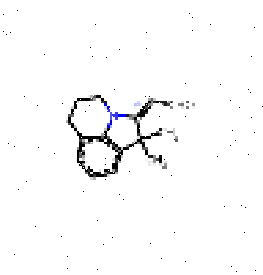 CC1(C)/C(=C\C=O)N2CCCc3cccc1c32